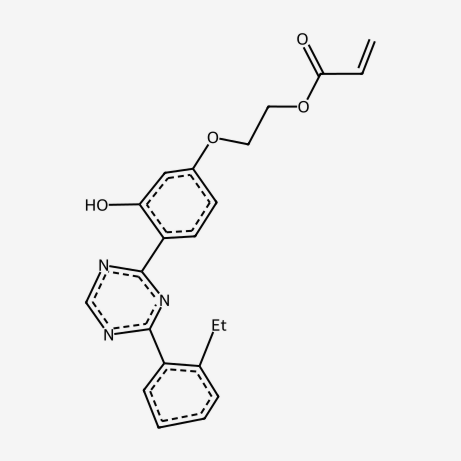 C=CC(=O)OCCOc1ccc(-c2ncnc(-c3ccccc3CC)n2)c(O)c1